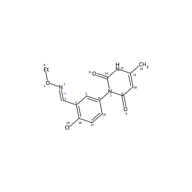 CCO/N=C/c1cc(-n2c(=O)cc(C)[nH]c2=O)ccc1Cl